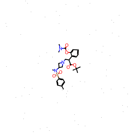 Cc1ccc(S(=O)(=O)N(C)C2CN(CC(C(=O)OC(C)(C)C)c3ccccc3OC(=O)N(C)C)C2)cc1